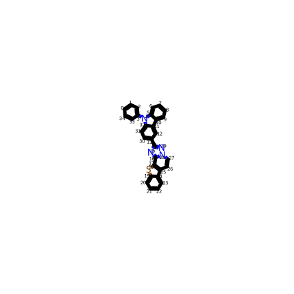 c1ccc(-n2c3ccccc3c3cc(-c4nc5c6sc7ccccc7c6ccn5n4)ccc32)cc1